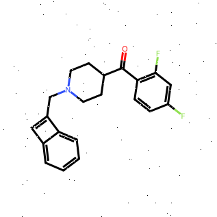 O=C(c1ccc(F)cc1F)C1CCN(CC2=Cc3ccccc32)CC1